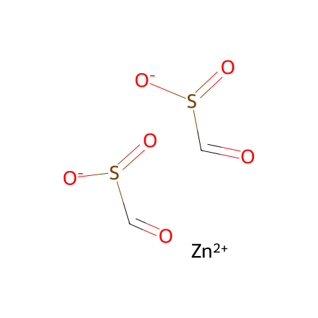 O=CS(=O)[O-].O=CS(=O)[O-].[Zn+2]